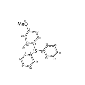 COc1ccc([S+](c2ccccc2)c2ccccc2)c(C)c1